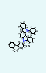 N#Cc1ccccc1-c1ccc(C#N)c(N2c3ccccc3C3c4c(c5ccccc5n4-c4ccccc4)C=CC32)c1